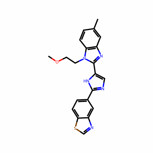 COCCn1c(-c2cnc(-c3ccc4scnc4c3)[nH]2)nc2cc(C)ccc21